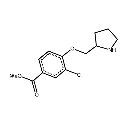 COC(=O)c1ccc(OCC2CCCN2)c(Cl)c1